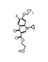 O=C(OCCO)c1cn(C2CC2)c2cc(OCC(F)(F)F)c(F)cc2c1=O